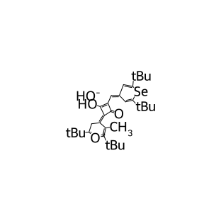 CC1=C(C(C)(C)C)[O+]=C(C(C)(C)C)CC1=C1C(=O)C(C=C2C=C(C(C)(C)C)[Se]C(C(C)(C)C)=C2)=C1O.[OH-]